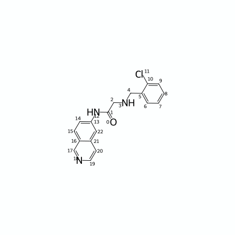 O=C(CNCc1ccccc1Cl)Nc1ccc2cnccc2c1